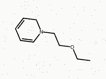 CCOCCN1C=CC=CC1